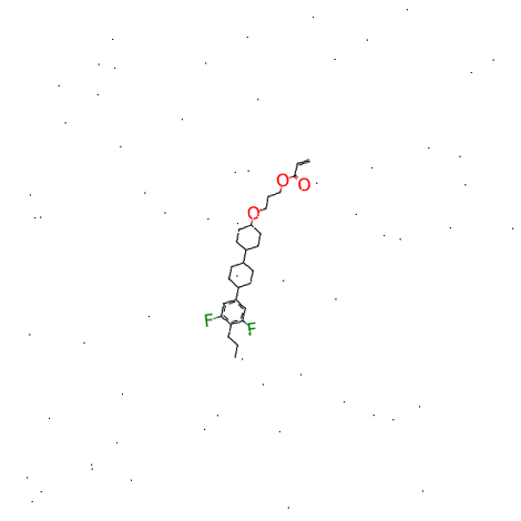 C=CC(=O)OCCCOC1CCC(C2CCC(c3cc(F)c(CCC)c(F)c3)CC2)CC1